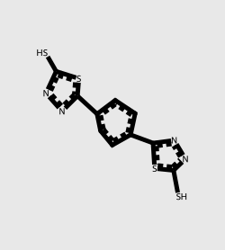 Sc1nnc(-c2ccc(-c3nnc(S)s3)cc2)s1